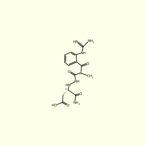 CN(C(=O)NN[C@@H](CC(=O)O)C(N)=O)C(=O)c1ccccc1NC(=N)N